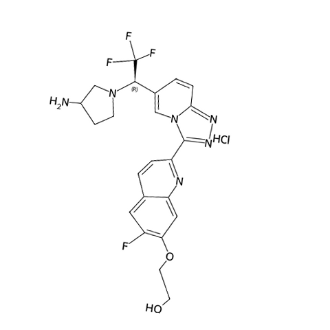 Cl.NC1CCN([C@H](c2ccc3nnc(-c4ccc5cc(F)c(OCCO)cc5n4)n3c2)C(F)(F)F)C1